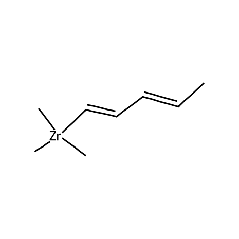 CC=CC=[CH][Zr]([CH3])([CH3])[CH3]